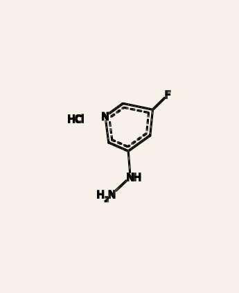 Cl.NNc1cncc(F)c1